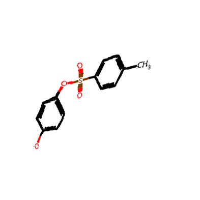 Cc1ccc(S(=O)(=O)Oc2ccc([O])cc2)cc1